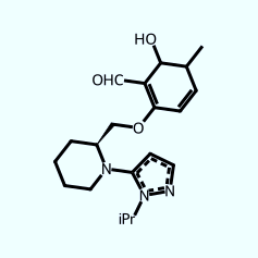 CC1C=CC(OC[C@@H]2CCCCN2c2ccnn2C(C)C)=C(C=O)C1O